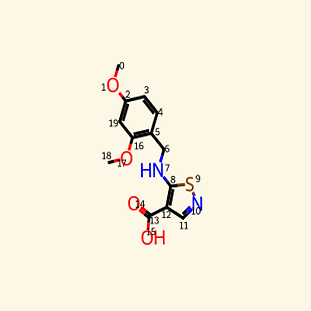 COc1ccc(CNc2sncc2C(=O)O)c(OC)c1